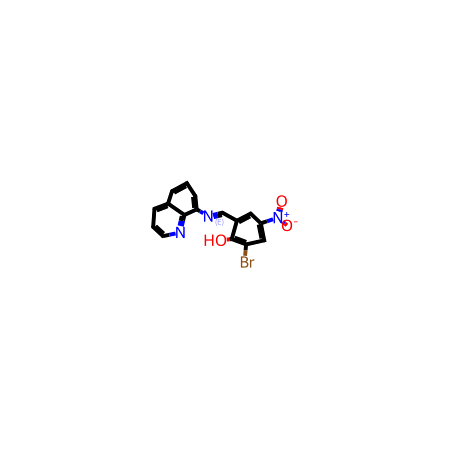 O=[N+]([O-])c1cc(Br)c(O)c(/C=N/c2cccc3cccnc23)c1